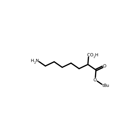 CC(C)(C)OC(=O)C(CCCCCN)C(=O)O